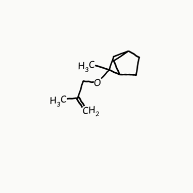 C=C(C)COC1(C)CC2CCC1C2